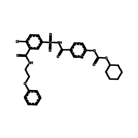 O=C(Oc1ccc(C(=O)NS(=O)(=O)c2ccc(Cl)c(C(=O)NCCOc3ccccc3)c2)cn1)OC1CCCCC1